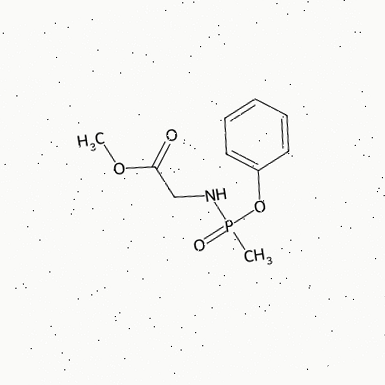 COC(=O)CNP(C)(=O)Oc1ccccc1